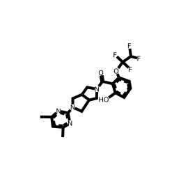 Cc1cc(C)nc(N2CC3CN(C(=O)c4c(O)cccc4OC(F)(F)C(F)F)CC3C2)n1